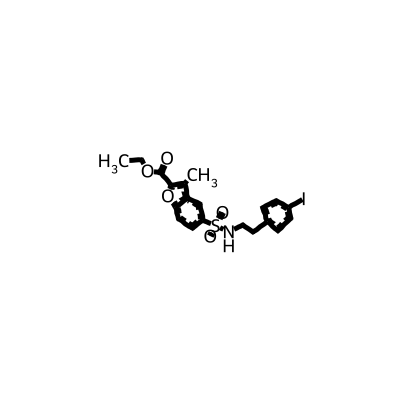 CCOC(=O)c1oc2ccc(S(=O)(=O)NCCc3ccc(I)cc3)cc2c1C